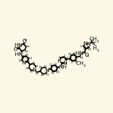 Cc1cc(-c2ccnc(Nc3ccc(N4CCC(CN5CCC(c6ccc(NC7CCC(=O)NC7=O)cn6)CC5)CC4)cc3)n2)ccc1CNC(=O)c1cnn(C(C)C)c1